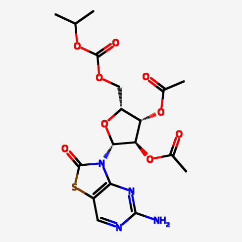 CC(=O)O[C@@H]1[C@@H](OC(C)=O)[C@@H](COC(=O)OC(C)C)O[C@H]1n1c(=O)sc2cnc(N)nc21